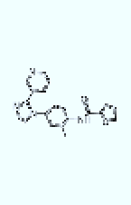 Cc1cc(-n2ccnc2-c2cccnc2)ccc1NC(=O)c1ccco1